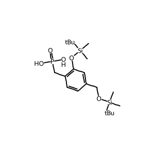 CC(C)(C)[Si](C)(C)OCc1ccc(CP(=O)(O)O)c(O[Si](C)(C)C(C)(C)C)c1